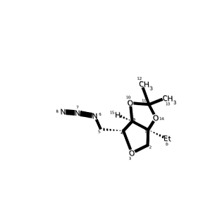 CC[C@]12CO[C@H](CN=[N+]=[N-])[C@H]1OC(C)(C)O2